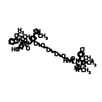 Cc1ncsc1-c1ccc(CNC(=O)[C@@H]2C[C@@H](O)CN2C(=O)[C@H](C(C)C)N2Cc3ccccc3C2=O)c(OCCOCCOCCCOCCOCCNC(=O)C[C@@H]2N=C(c3ccc(Cl)cc3)c3c(sc(C)c3C)-n3c(C)nnc32)c1